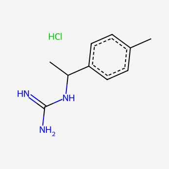 Cc1ccc(C(C)NC(=N)N)cc1.Cl